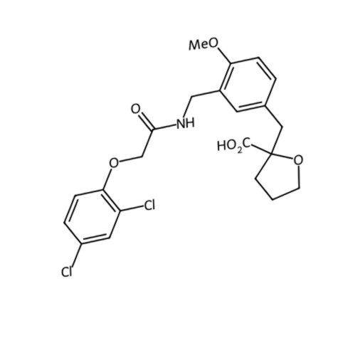 COc1ccc(CC2(C(=O)O)CCCO2)cc1CNC(=O)COc1ccc(Cl)cc1Cl